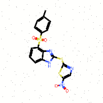 Cc1ccc(S(=O)(=O)c2cccc3[nH]c(Sc4ncc([N+](=O)[O-])s4)nc23)cc1